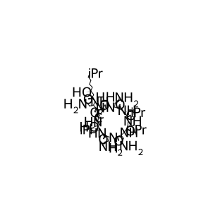 CC(C)CCCC[C@@H](O)CC(=O)N[C@H](CCN)C(=O)N[C@H]1CCNC(O)[C@H](CC(C)C)NC(=O)[C@H](CCN)NC(=O)[C@H](CCN)NC(=O)[C@H](CC(C)C)NC(=O)[C@@H](CC(C)C)NC(=O)[C@H](CCN)NC1=O